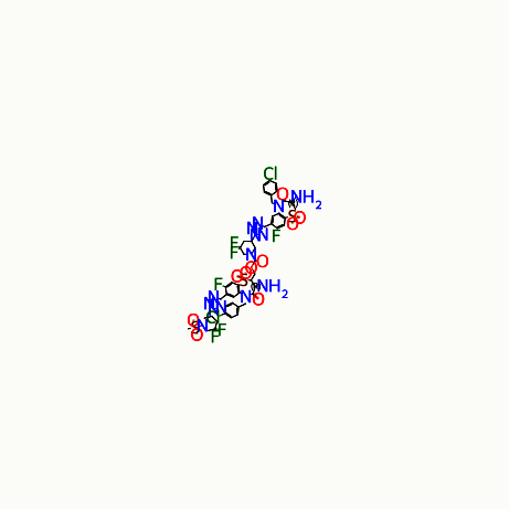 CS(=O)(=O)N1CC(n2nnc(-c3cc4c(cc3F)S(=O)(=O)C(COC(=O)N3CC(n5nnc(-c6cc7c(cc6F)S(=O)(=O)C[C@H](N)C(=O)N7Cc6ccc(Cl)cc6)n5)CC(F)(F)C3)[C@H](N)C(=O)N4Cc3ccc(Cl)cc3)n2)CC(F)(F)C1